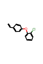 C=Cc1ccc(Oc2ccccc2Cl)cc1